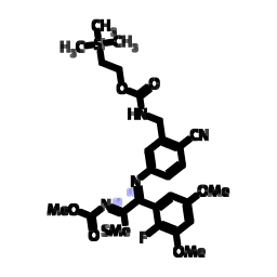 COC(=O)/N=C(SC)/C(=N/c1ccc(C#N)c(CNC(=O)OCC[Si](C)(C)C)c1)c1cc(OC)cc(OC)c1F